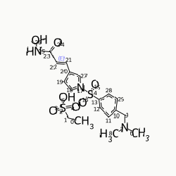 CCS(=O)(=O)O.CN(C)Cc1ccc(S(=O)(=O)n2ccc(/C=C/C(=O)NO)c2)cc1